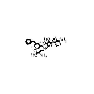 Nc1ncnc2c1ncn2[C@@H]1O[C@H](CN(CCC(N)C(=O)O)CC2CNCC(Cc3ccccc3)C2)[C@@H](O)[C@H]1O